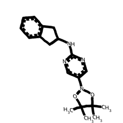 CC1(C)ON(c2cnc(NC3Cc4ccccc4C3)nc2)OC1(C)C